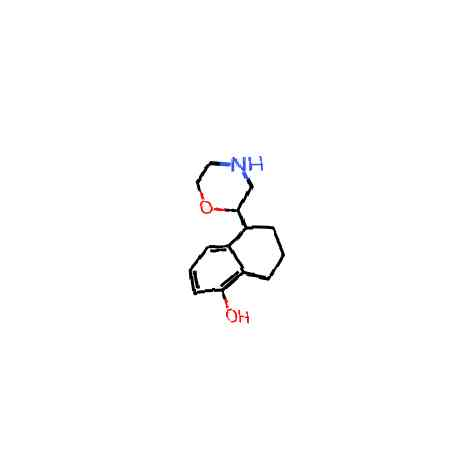 Oc1cccc2c1CCCC2C1CNCCO1